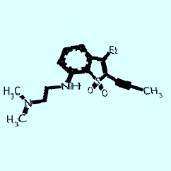 CC#CC1=C(CC)c2cccc(NCCN(C)C)c2S1(=O)=O